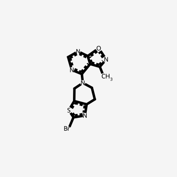 Cc1noc2ncnc(N3CCc4nc(Br)sc4C3)c12